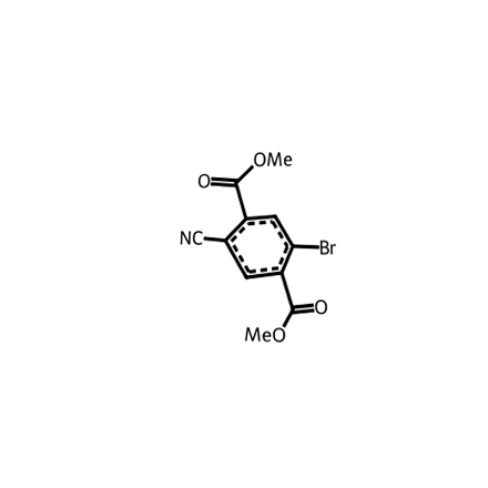 COC(=O)c1cc(C#N)c(C(=O)OC)cc1Br